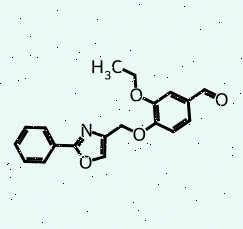 CCOc1cc(C=O)ccc1OCc1coc(-c2ccccc2)n1